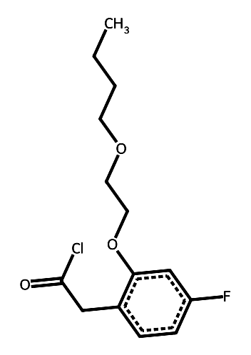 CCCCOCCOc1cc(F)ccc1CC(=O)Cl